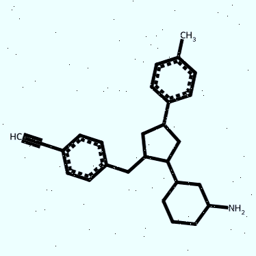 C#Cc1ccc(CC2CC(c3ccc(C)cc3)CC2C2CCCC(N)C2)cc1